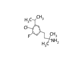 CC(C)c1cc(CCC(C)(C)N)cc(F)c1Cl